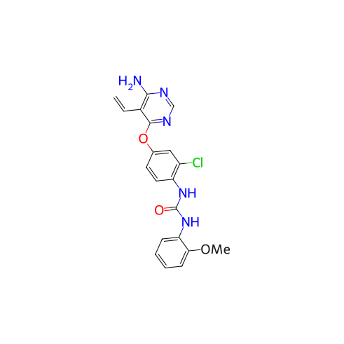 C=Cc1c(N)ncnc1Oc1ccc(NC(=O)Nc2ccccc2OC)c(Cl)c1